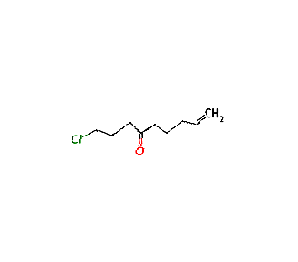 C=CCCCC(=O)CCCCl